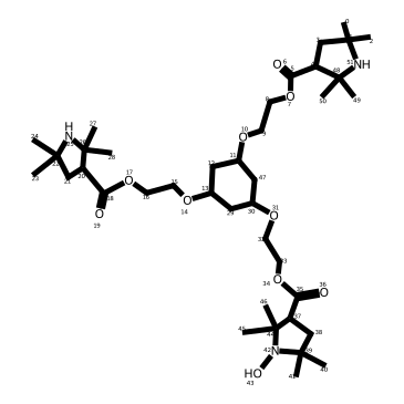 CC1(C)CC(C(=O)OCCOC2CC(OCCOC(=O)C3CC(C)(C)NC3(C)C)CC(OCCOC(=O)C3CC(C)(C)N(O)C3(C)C)C2)C(C)(C)N1